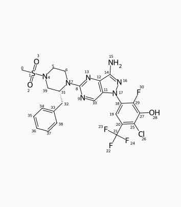 CS(=O)(=O)N1CCN(c2ncc3c(n2)c(N)nn3-c2cc(C(F)(F)F)c(Cl)c(O)c2F)[C@H](Cc2ccccc2)C1